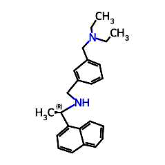 CCN(CC)Cc1cccc(CN[C@H](C)c2cccc3ccccc23)c1